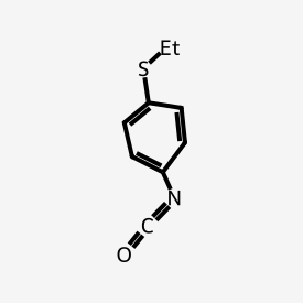 CCSc1ccc(N=C=O)cc1